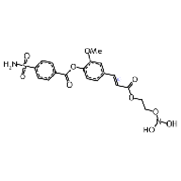 COc1cc(/C=C/C(=O)OCCON(O)O)ccc1OC(=O)c1ccc(S(N)(=O)=O)cc1